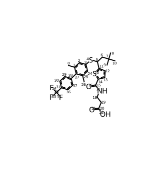 Cc1cc(SC(CC(C)(C)C)c2ccc(C(=O)NCCC(=O)O)s2)cc(C)c1-c1ccc(C(F)(F)F)cc1